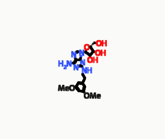 COc1cc(CCNc2nc(N)c3ncn([C@@H]4O[C@H](CO)C(O)C4O)c3n2)cc(OC)c1